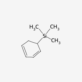 C[Si](C)(C)C1C=CC=CC1